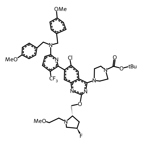 COCCN1C[C@H](F)C[C@H]1COc1nc(N2CCN(C(=O)OC(C)(C)C)CC2)c2cc(Cl)c(-c3nc(N(Cc4ccc(OC)cc4)Cc4ccc(OC)cc4)ccc3C(F)(F)F)cc2n1